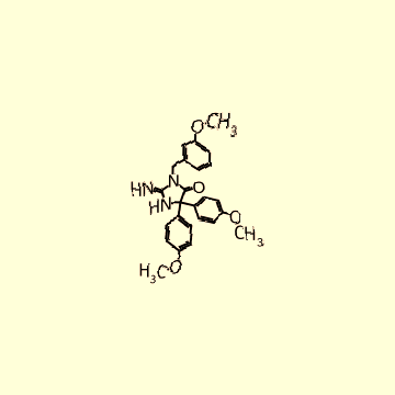 COc1ccc(C2(c3ccc(OC)cc3)NC(=N)N(Cc3cccc(OC)c3)C2=O)cc1